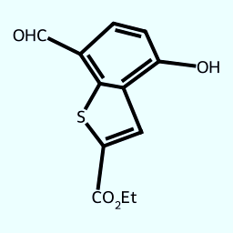 CCOC(=O)c1cc2c(O)ccc(C=O)c2s1